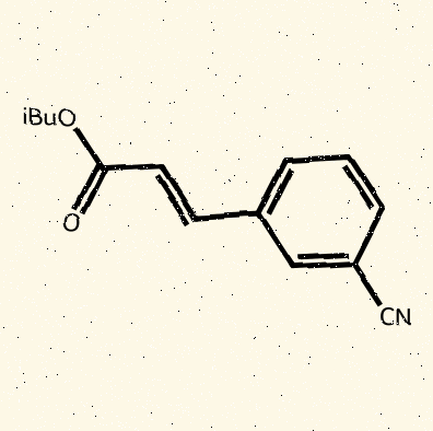 CC(C)COC(=O)/C=C/c1cccc(C#N)c1